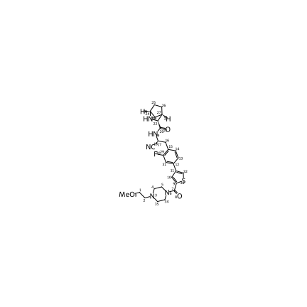 COCCN1CCN(C(=O)c2cc(-c3ccc(C[C@@H](C#N)NC(=O)[C@H]4N[C@@H]5CC[C@H]4C5)c(F)c3)cs2)CC1